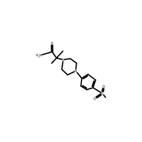 CC(C)(C(N)=O)N1CCN(c2ccc(S(C)(=O)=O)cc2)CC1